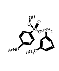 CC(=O)Nc1ccc([As](=O)(O)OO)cc1.Nc1cccc(C(=O)O)c1